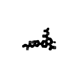 CCNC(=O)CN1CC(c2ccc3c(c2)N(C(=O)OC(C)C)C[C@H](C)N3C(C)=O)CN1